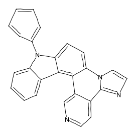 c1ccc(-n2c3ccccc3c3c4c5cnccc5c5nccn5c4ccc32)cc1